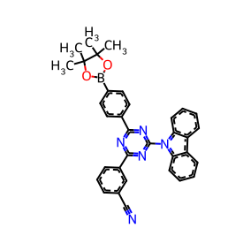 CC1(C)OB(c2ccc(-c3nc(-c4cccc(C#N)c4)nc(-n4c5ccccc5c5ccccc54)n3)cc2)OC1(C)C